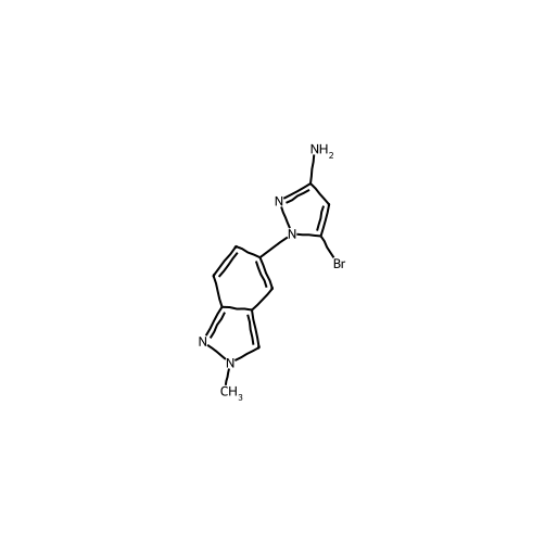 Cn1cc2cc(-n3nc(N)cc3Br)ccc2n1